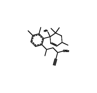 C#CC(CC(C)c1ccc(C)c(C)c1C1(CCC)C=CC(C)CC1(C)C)OC